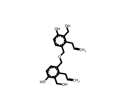 C=CCc1c(COCc2ccc(O)c(CO)c2CC=C)ccc(O)c1CO